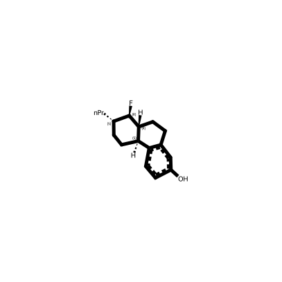 CCC[C@H]1CC[C@@H]2c3ccc(O)cc3CC[C@H]2[C@@H]1F